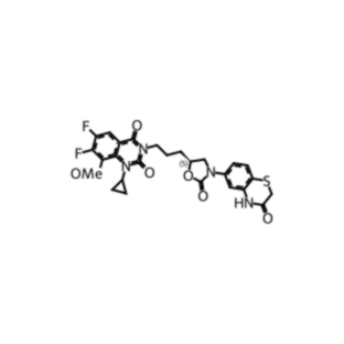 COc1c(F)c(F)cc2c(=O)n(CCC[C@H]3CN(c4ccc5c(c4)NC(=O)CS5)C(=O)O3)c(=O)n(C3CC3)c12